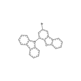 Brc1cc(-n2c3ccccc3c3ccccc32)c2oc3ccccc3c2c1